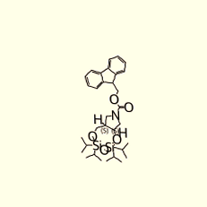 CC(C)[Si]1(C(C)C)OC[C@@H]2CN(C(=O)OCC3c4ccccc4-c4ccccc43)C[C@H]2O[Si](C(C)C)(C(C)C)O1